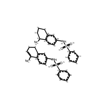 N#CC1=CCCc2cc(NS(=O)(=O)c3ccccc3)ccc21.N#CC1CCCc2cc(NS(=O)(=O)c3ccccc3)ccc21